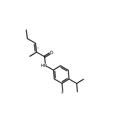 CC/C=C(\C)C(=O)Nc1ccc(C(C)C)c(F)c1